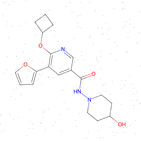 O=C(NN1CCC(O)CC1)c1cnc(OC2CCC2)c(-c2ccco2)c1